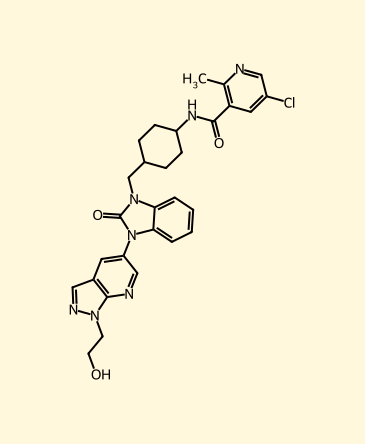 Cc1ncc(Cl)cc1C(=O)NC1CCC(Cn2c(=O)n(-c3cnc4c(cnn4CCO)c3)c3ccccc32)CC1